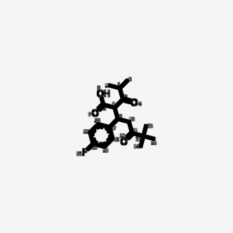 CC(C)C(=O)C(C(=O)O)C(CC(=O)C(C)(C)C)c1ccc(F)cc1